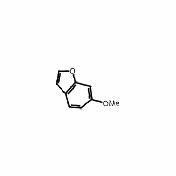 COc1[c]cc2ccoc2c1